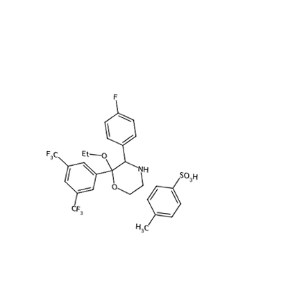 CCOC1(c2cc(C(F)(F)F)cc(C(F)(F)F)c2)OCCNC1c1ccc(F)cc1.Cc1ccc(S(=O)(=O)O)cc1